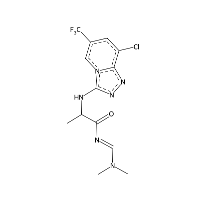 CC(Nc1nnc2c(Cl)cc(C(F)(F)F)cn12)C(=O)/N=C/N(C)C